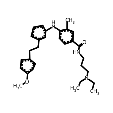 CCN(CC)CCCNC(=O)c1ccc(Nc2cccc(CCc3ccc(OC)cc3)c2)c(C)c1